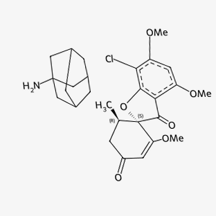 COC1=CC(=O)C[C@@H](C)[C@]12Oc1c(Cl)c(OC)cc(OC)c1C2=O.NC12CC3CC(CC(C3)C1)C2